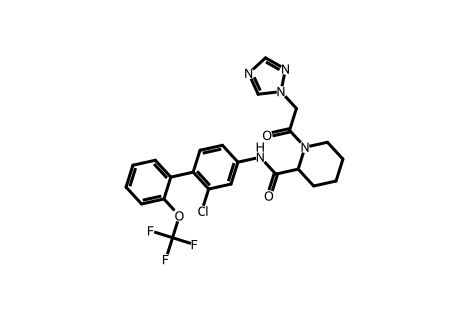 O=C(Nc1ccc(-c2ccccc2OC(F)(F)F)c(Cl)c1)C1CCCCN1C(=O)Cn1cncn1